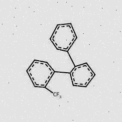 FC(F)(F)c1ccccc1-c1ccccc1-c1ccccc1